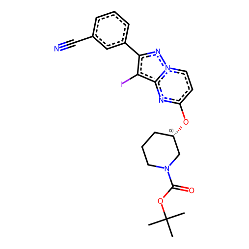 CC(C)(C)OC(=O)N1CCC[C@H](Oc2ccn3nc(-c4cccc(C#N)c4)c(I)c3n2)C1